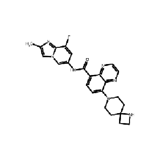 Cc1cn2cc(NC(=O)c3ccc(N4CCC5(CCN5)CC4)c4nccnc34)cc(F)c2n1